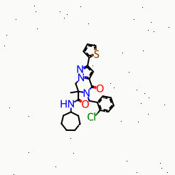 CC1(C(=O)NC2CCCCCC2)Cn2nc(-c3cccs3)cc2C(=O)N1Cc1ccccc1Cl